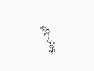 CCCc1ccc(CCC2CCC(c3ccc(OCC)cc3F)CC2)c(F)c1F